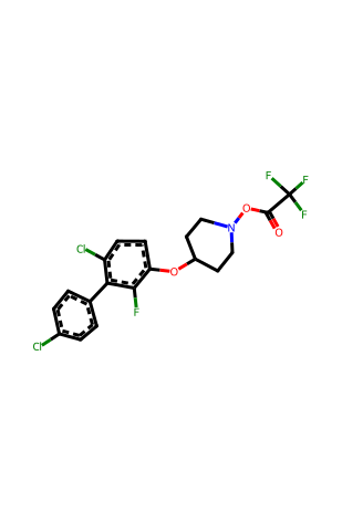 O=C(ON1CCC(Oc2ccc(Cl)c(-c3ccc(Cl)cc3)c2F)CC1)C(F)(F)F